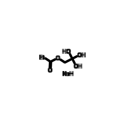 CCC(=O)OCC(O)(O)O.[NaH]